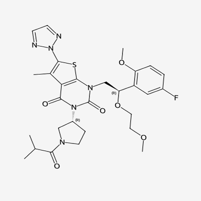 COCCO[C@@H](Cn1c(=O)n([C@@H]2CCN(C(=O)C(C)C)C2)c(=O)c2c(C)c(-n3nccn3)sc21)c1cc(F)ccc1OC